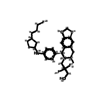 C[C@@H]1Cc2cc3c(cc2[C@@H](c2ccc(NC4CCN(CCCF)C4)cn2)N1CC(F)(F)CO)OCO3